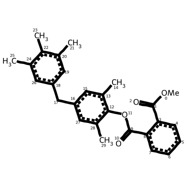 COC(=O)c1ccccc1C(=O)Oc1c(C)cc(Cc2cc(C)c(C)c(C)c2)cc1C